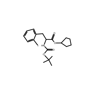 CC(C)(C)OC(=O)NC(Cc1ccccc1I)C(=O)OC1CCCC1